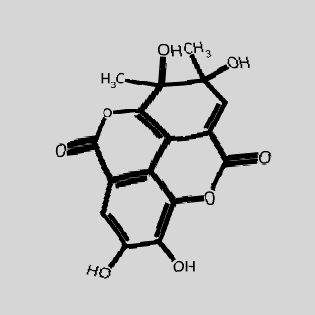 CC1(O)C=c2c(=O)oc3c(O)c(O)cc4c(=O)oc(c2c34)C1(C)O